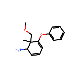 COCC1(C)C(Oc2ccccc2)=CC=CC1N